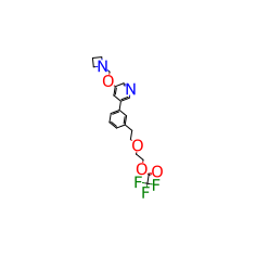 O=C(OCCOCCc1cccc(-c2cncc(OCN3CCC3)c2)c1)C(F)(F)F